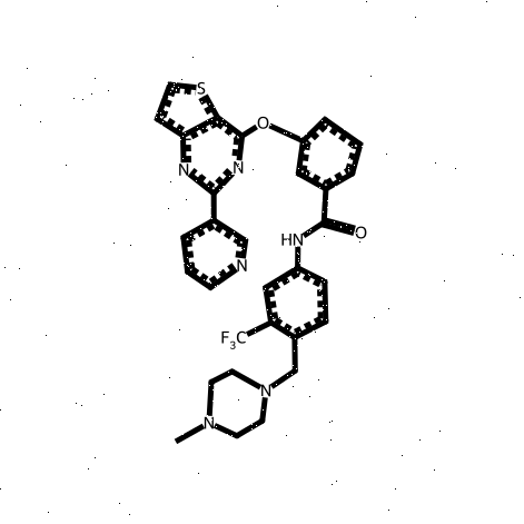 CN1CCN(Cc2ccc(NC(=O)c3cccc(Oc4nc(-c5cccnc5)nc5ccsc45)c3)cc2C(F)(F)F)CC1